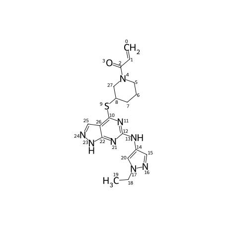 C=CC(=O)N1CCCC(Sc2nc(Nc3cnn(CC)c3)nc3[nH]ncc23)C1